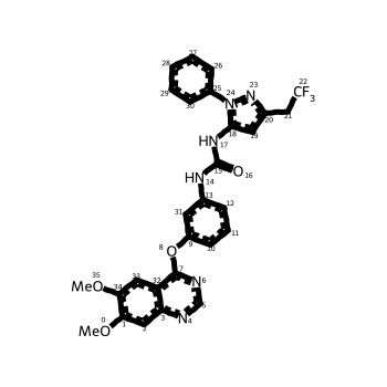 COc1cc2ncnc(Oc3cccc(NC(=O)Nc4cc(CC(F)(F)F)nn4-c4ccccc4)c3)c2cc1OC